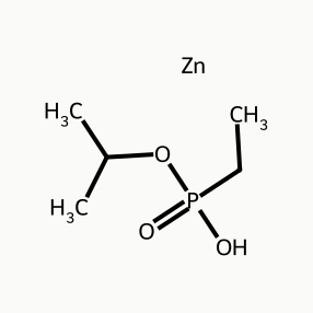 CCP(=O)(O)OC(C)C.[Zn]